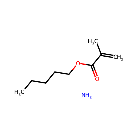 C=C(C)C(=O)OCCCCC.N